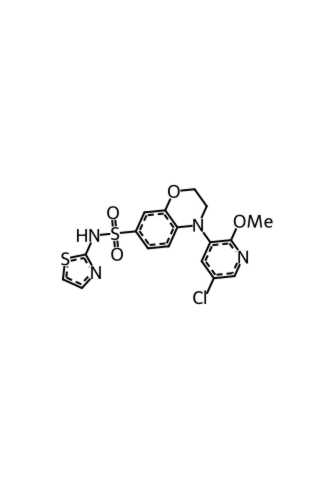 COc1ncc(Cl)cc1N1CCOc2cc(S(=O)(=O)Nc3nccs3)ccc21